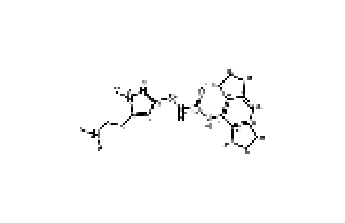 CN(C)CCc1cc(SNC(=O)Nc2c3c(cc4c2CCC4)CCC3)nn1C